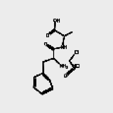 CC(NC(=O)C(N)Cc1ccccc1)C(=O)O.Cl.O=CCCl